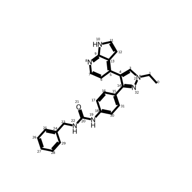 CCn1cc(-c2ccnc3[nH]ccc23)c(-c2ccc(NC(=O)NCc3ccccc3)cc2)n1